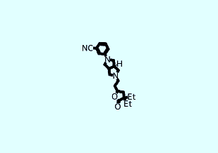 CCC1(CC)CC(CCN2CC3CN(c4cccc(C#N)c4)C[C@H]3C2)OC1=O